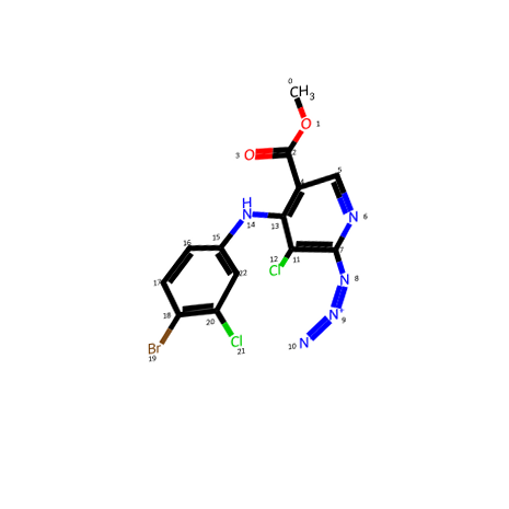 COC(=O)c1cnc(N=[N+]=[N-])c(Cl)c1Nc1ccc(Br)c(Cl)c1